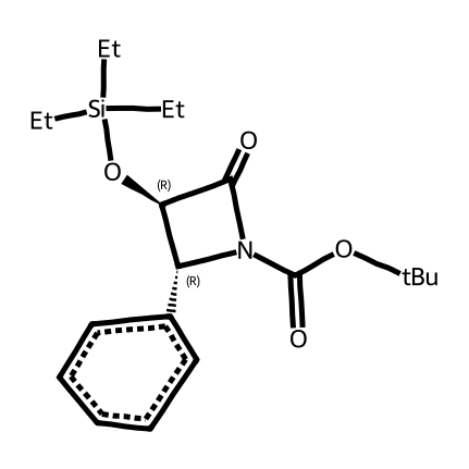 CC[Si](CC)(CC)O[C@H]1C(=O)N(C(=O)OC(C)(C)C)[C@@H]1c1ccccc1